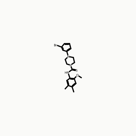 COc1cc(C)c(C)cc1NC(=S)N1CCN(c2cccc(Br)c2)CC1